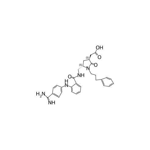 N=C(N)c1ccc(Nc2ccccc2C(=O)NC[C@@H]2C[C@@H](CC(=O)O)C(=O)N2CCCc2ccccc2)cc1